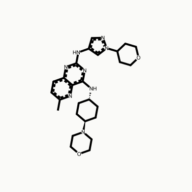 Cc1ccc2nc(Nc3cnn(C4CCOCC4)c3)nc(N[C@H]3CC[C@H](N4CCOCC4)CC3)c2n1